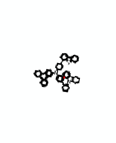 C1=CC2c3ccccc3N(c3ccccc3-c3ccc(N(c4ccc(-c5cccc6c5sc5ccccc56)cc4)c4ccc5c6ccccc6c6ccccc6c5c4)cc3)C2C=C1